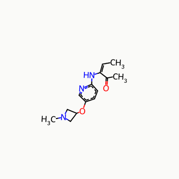 C/C=C(/Nc1ccc(OC2CN(C)C2)cn1)C(C)=O